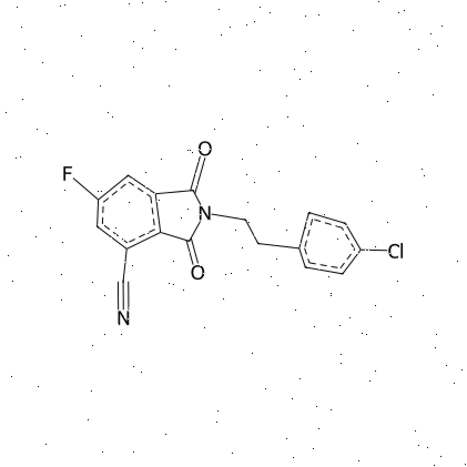 N#Cc1cc(F)cc2c1C(=O)N(CCc1ccc(Cl)cc1)C2=O